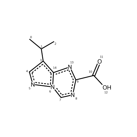 CC(C)c1cnn2cnc(C(=O)O)nc12